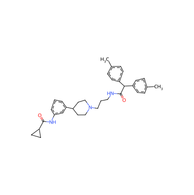 Cc1ccc(C(C(=O)NCCCN2CCC(c3cccc(NC(=O)C4CC4)c3)CC2)c2ccc(C)cc2)cc1